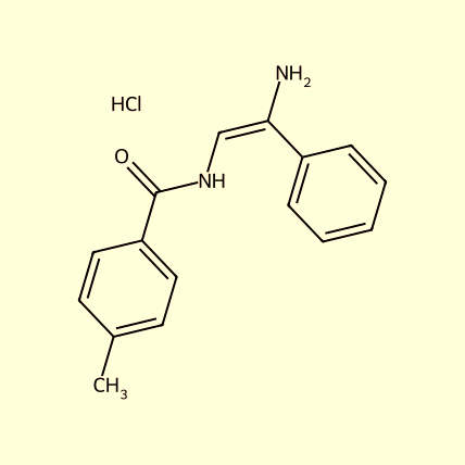 Cc1ccc(C(=O)N/C=C(/N)c2ccccc2)cc1.Cl